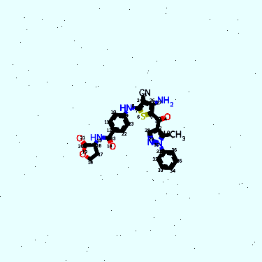 Cc1c(C(=O)c2sc(Nc3ccc(C(=O)NC4CCOC4=O)cc3)c(C#N)c2N)cnn1-c1ccccc1